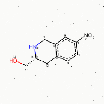 O=[N+]([O-])c1ccc2c(c1)CN[C@@H](CO)C2